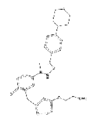 COCCOc1cccc(Cn2cc(N3C=C(c4ccc(C5CCSCC5)cc4)ON3)ccc2=O)c1